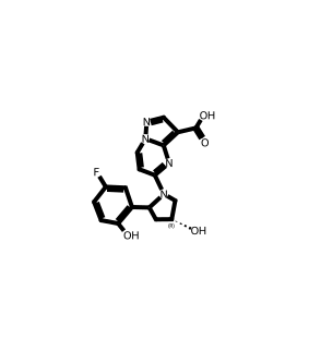 O=C(O)c1cnn2ccc(N3C[C@H](O)CC3c3cc(F)ccc3O)nc12